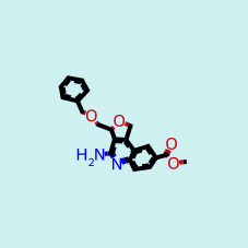 COC(=O)c1ccc2nc(N)c3c(c2c1)COC3COCc1ccccc1